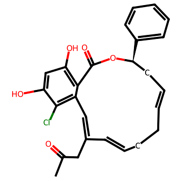 CC(=O)CC1=C\c2c(Cl)c(O)cc(O)c2C(=O)O[C@@H](c2ccccc2)C/C=C/CC\C=C\1